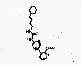 COc1ncccc1-c1ccc(NC(=O)NCCCCN2CCCCC2)cn1